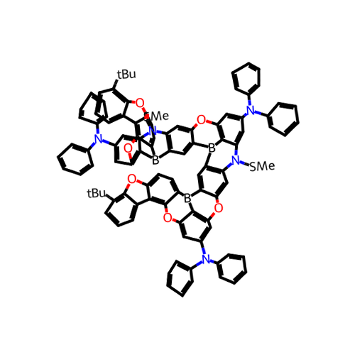 CSN1c2cc3c(cc2B2c4cc5c(cc4Oc4cc(N(c6ccccc6)c6ccccc6)cc1c42)N(SC)c1cc(N(c2ccccc2)c2ccccc2)cc2c1B5c1ccc4oc5c(C(C)(C)C)cccc5c4c1O2)B1c2ccc4oc5c(C(C)(C)C)cccc5c4c2Oc2cc(N(c4ccccc4)c4ccccc4)cc(c21)O3